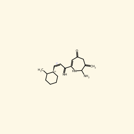 C=C1CC(=O)C=C(C(=N)/C=C\[C@H]2CCCCC2C)NC1N